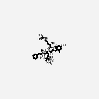 BC(B)(CN)C(B)(B)C[C@](B)(NC(=O)[C@H](Cc1c(C)cc(O)cc1C)NC(=O)[C@H](N)CCCNC(=N)N)C(=O)NCCc1ccccc1